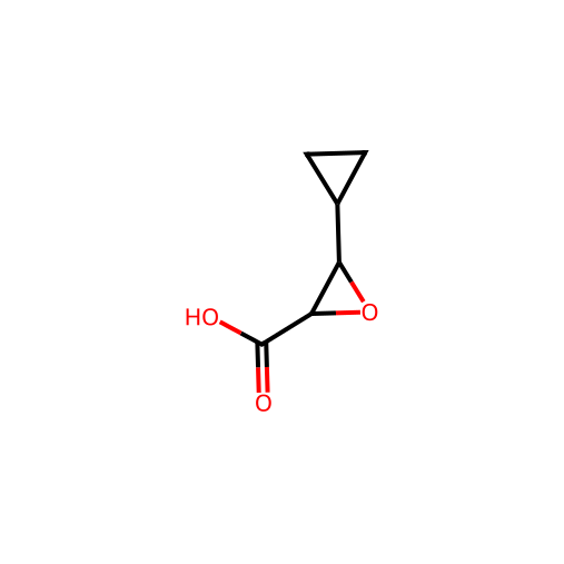 O=C(O)C1OC1C1CC1